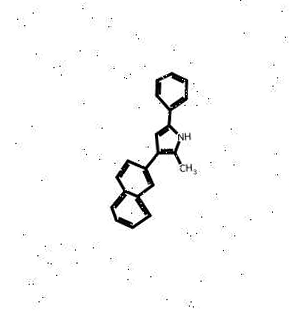 Cc1[nH]c(-c2ccccc2)cc1-c1ccc2ccccc2c1